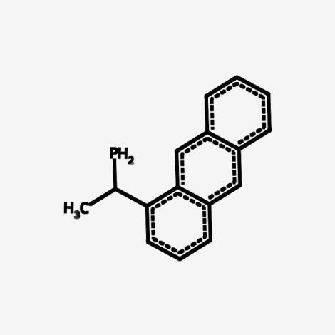 CC(P)c1cccc2cc3ccccc3cc12